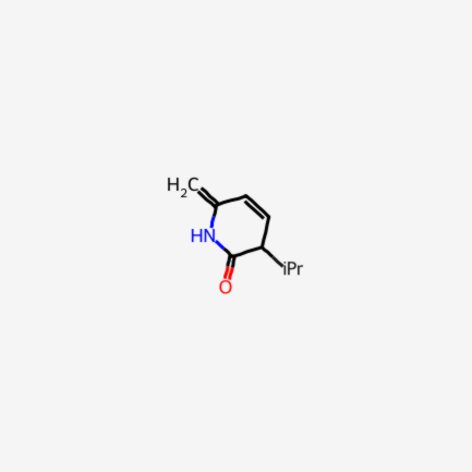 C=C1C=CC(C(C)C)C(=O)N1